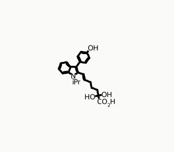 CC(C)n1c(/C=C/CCCC(O)(O)C(=O)O)c(-c2ccc(O)cc2)c2ccccc21